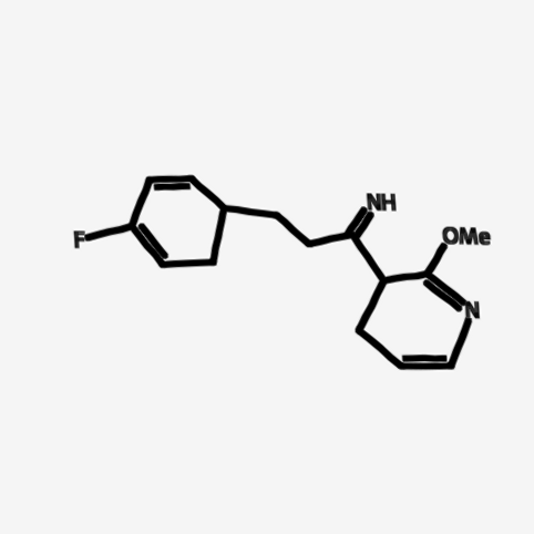 COC1=NC=CCC1C(=N)CCC1C=CC(F)=CC1